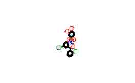 COc1ccc(S(=O)(=O)N(C)c2ccc(Cl)cc2C(=O)c2ccccc2Cl)cc1OC